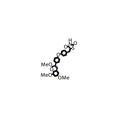 COC(=O)/C(=C\c1cc(OC)cc(OC)c1)c1ccc(Oc2ccc(/C=C3/SC(=O)NC3=O)cc2)cc1